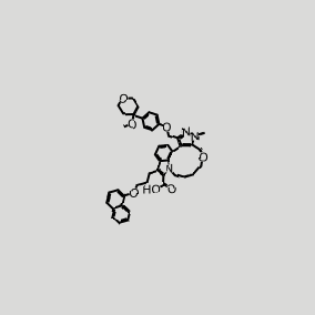 COC1(c2ccc(OCc3nn(C)c4c3-c3cccc5c(CCCOc6cccc7ccccc67)c(C(=O)O)n(c35)CCCCOC4)cc2)CCOCC1